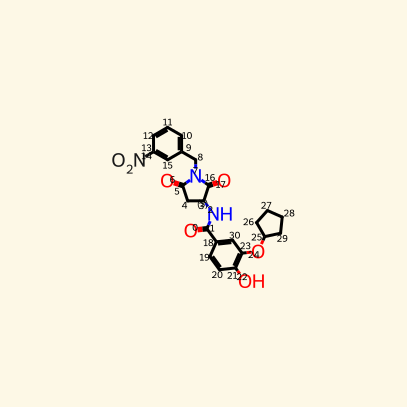 O=C(N[C@H]1CC(=O)N(Cc2cccc([N+](=O)[O-])c2)C1=O)c1ccc(O)c(OC2CCCC2)c1